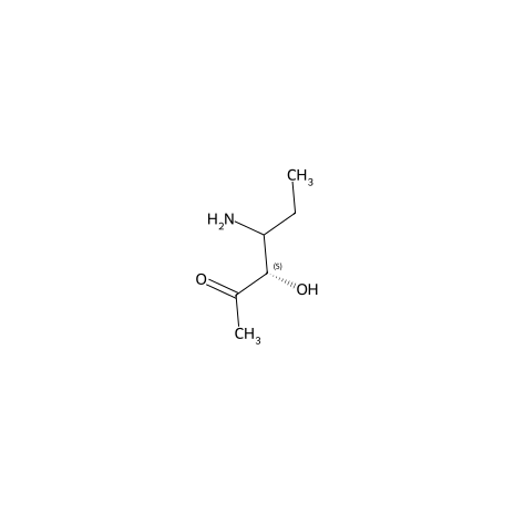 CCC(N)[C@H](O)C(C)=O